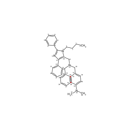 CCCCn1c(-c2ccccc2)nc(-c2ccccc2)c1CN(Cc1ccccc1)Cc1ccc(N(C)C)cc1